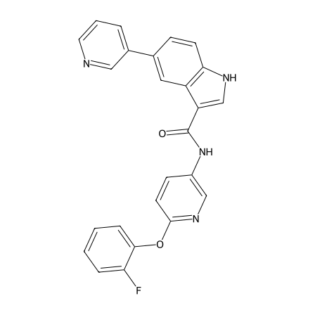 O=C(Nc1ccc(Oc2ccccc2F)nc1)c1c[nH]c2ccc(-c3cccnc3)cc12